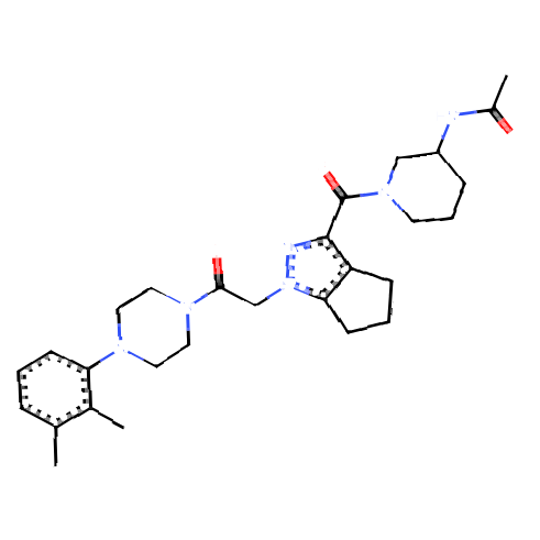 CC(=O)NC1CCCN(C(=O)c2nn(CC(=O)N3CCN(c4cccc(C)c4C)CC3)c3c2CCC3)C1